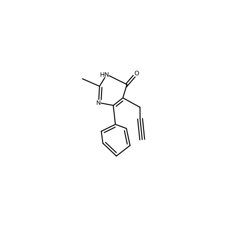 C#CCc1c(-c2ccccc2)nc(C)[nH]c1=O